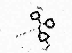 CCCCOc1ccc(C[S+](c2ccccc2)c2ccccc2)cc1.[F-].[F-].[F-].[F-].[F-].[F-].[SbH3]